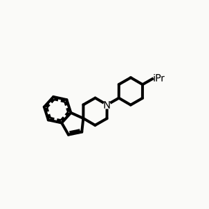 CC(C)C1CCC(N2CCC3(C=Cc4ccccc43)CC2)CC1